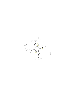 CC(C)Cc1ccc(-c2c3cc(C(C)(C)C)sc3c(-c3ccc(CC(C)C)s3)c3cc(C(C)(C)C)sc23)s1